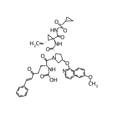 C=C[C@@H]1C[C@]1(NC(=O)[C@@H]1C[C@@H](Oc2nccc3cc(OC)ccc23)CN1C(=O)[C@H](CCC(=O)/C=C/c1ccccc1)NC(=O)O)C(=O)NS(=O)(=O)C1CC1